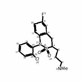 CNCCCC1Cc2cc(F)ccc2N(c2ccccc2Cl)S1(=O)=O